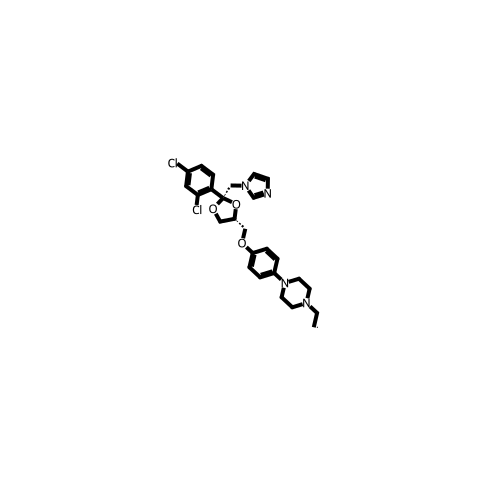 [CH2]CN1CCN(c2ccc(OC[C@@H]3CO[C@@](Cn4ccnc4)(c4ccc(Cl)cc4Cl)O3)cc2)CC1